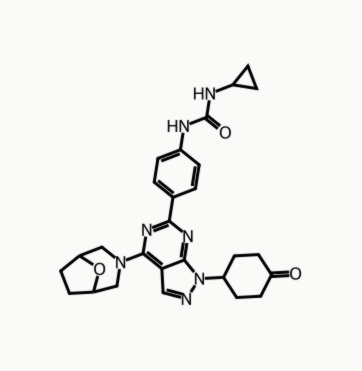 O=C1CCC(n2ncc3c(N4CC5CCC(C4)O5)nc(-c4ccc(NC(=O)NC5CC5)cc4)nc32)CC1